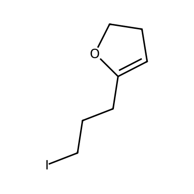 ICCCC1=CCCO1